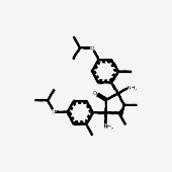 Cc1cc(OC(C)C)ccc1C(N)(C(=O)C(N)(c1ccc(OC(C)C)cc1C)C(C)C)C(C)C